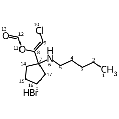 Br.CCCCCNC1(C(=CCl)OC=O)CCCC1